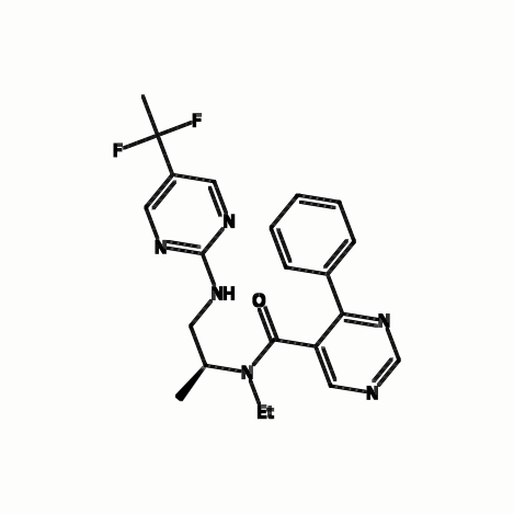 CCN(C(=O)c1cncnc1-c1ccccc1)[C@@H](C)CNc1ncc(C(C)(F)F)cn1